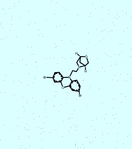 Brc1ccc2c(c1)Oc1cc(Br)ccc1N2CCN1C[C@H]2C[C@@H]1CO2